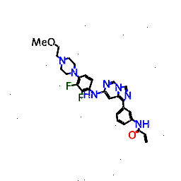 C=CC(=O)Nc1cccc(-c2ncn3cnc(Nc4ccc(N5CCN(CCOC)CC5)c(F)c4F)cc23)c1